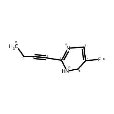 CCC#CC1=NC=C(F)CN1